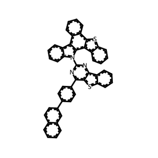 c1ccc2cc(-c3ccc(-c4nc(-n5c6ccccc6c6c7ccccc7c7sc8ccccc8c7c65)nc5c4sc4ccccc45)cc3)ccc2c1